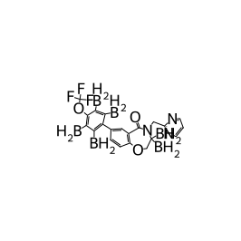 Bc1c(B)c(-c2ccc3c(c2)C(=O)N(Cc2ncccn2)C(B)(B)CO3)c(B)c(B)c1OC(F)(F)F